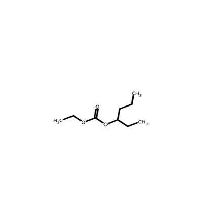 C[CH]OC(=O)OC(CC)CCC